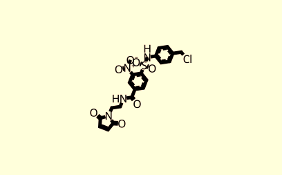 O=C(NCCN1C(=O)C=CC1=O)c1ccc(S(=O)(=O)Nc2ccc(CCl)cc2)c([N+](=O)[O-])c1